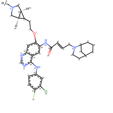 CN1C[C@@H]2C(CCOc3cc4ncnc(Nc5ccc(F)c(Cl)c5)c4cc3NC(=O)/C=C/CN3CCC4CCCC3C4)[C@@H]2C1